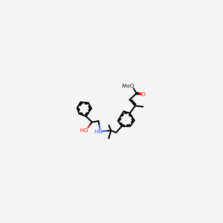 COC(=O)C=C(C)c1ccc(CC(C)(C)NCC(O)c2ccccc2)cc1